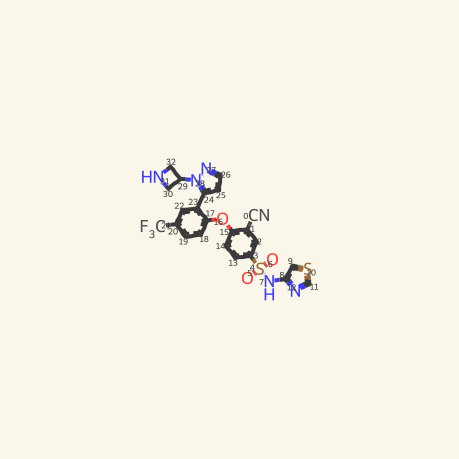 N#Cc1cc(S(=O)(=O)Nc2cscn2)ccc1Oc1ccc(C(F)(F)F)cc1-c1ccnn1C1CNC1